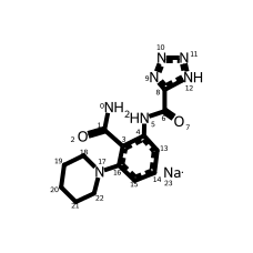 NC(=O)c1c(NC(=O)c2nnn[nH]2)cccc1N1CCCCC1.[Na]